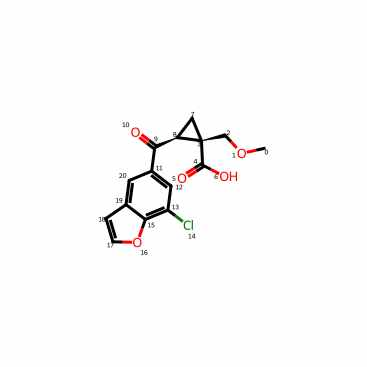 COC[C@]1(C(=O)O)C[C@@H]1C(=O)c1cc(Cl)c2occc2c1